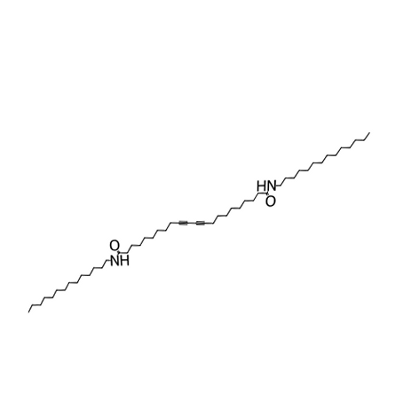 CCCCCCCCCCCCCCNC(=O)CCCCCCCCC#CC#CCCCCCCCCC(=O)NCCCCCCCCCCCCCC